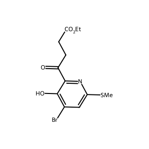 CCOC(=O)CCC(=O)c1nc(SC)cc(Br)c1O